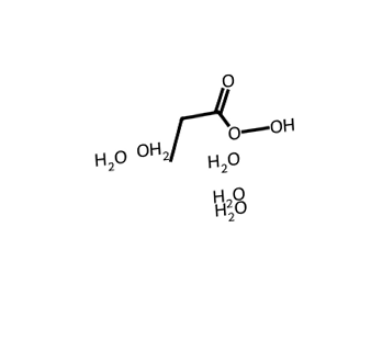 CCC(=O)OO.O.O.O.O.O